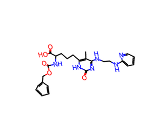 Cc1c(NCCNc2ccccn2)nc(=O)[nH]c1CCCC(NC(=O)OCc1ccccc1)C(=O)O